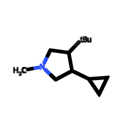 CN1CC(C2CC2)C(C(C)(C)C)C1